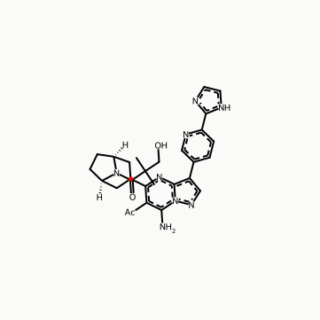 CC(=O)c1c(C2C[C@H]3CC[C@@H](C2)N3C(=O)C(C)(C)CO)nc2c(-c3ccc(-c4ncc[nH]4)nc3)cnn2c1N